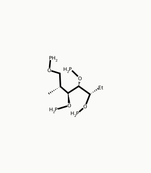 CC[C@H](OP)[C@@H](OP)[C@@H](OP)[C@H](C)COP